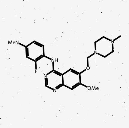 CNc1ccc(Nc2ncnc3cc(OC)c(OCN4CCN(C)CC4)cc23)c(F)c1